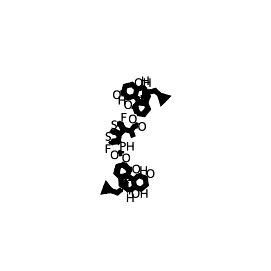 CC(C(=O)Oc1ccc2c3c1O[C@H]1C(=O)CC[C@@]4(O)[C@@H](C2)N(CC2CC2)CC[C@]314)c1c(F)sc2sc(F)c(PC(=O)Oc3ccc4c5c3O[C@H]3C(=O)CC[C@@]6(O)[C@@H](C4)N(CC4CC4)CC[C@]536)c12